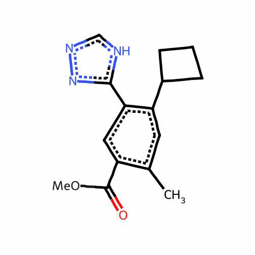 COC(=O)c1cc(-c2nnc[nH]2)c(C2CCC2)cc1C